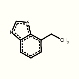 CCc1cccc2ncsc12